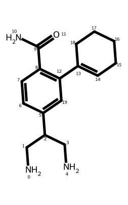 NCC(CN)c1ccc(C(N)=O)c(C2=CCCCC2)c1